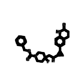 O=C1CCc2cc(C3CC3NCC3(F)CCN(C(=O)OCc4ccccc4)CC3)ccc2N1